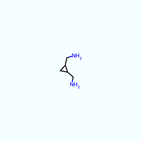 NCC1CC1CN